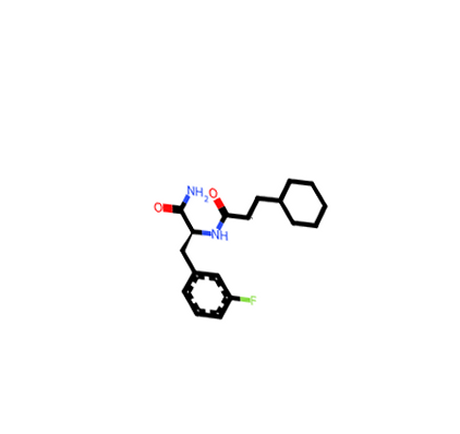 NC(=O)[C@H](Cc1cccc(F)c1)NC(=O)[CH]CC1CCCCC1